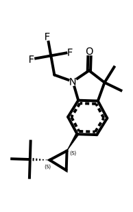 CC1(C)C(=O)N(CC(F)(F)F)c2cc([C@H]3C[C@@H]3C(C)(C)C)ccc21